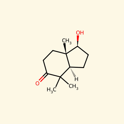 CC1(C)C(=O)CC[C@]2(C)[C@@H](O)CC[C@@H]12